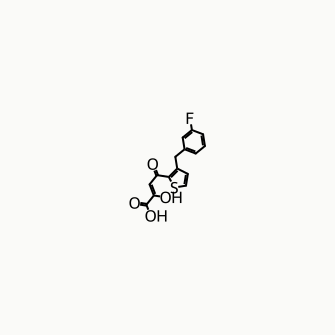 O=C(O)/C(O)=C/C(=O)c1sccc1Cc1cccc(F)c1